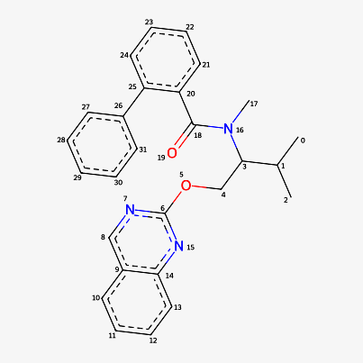 CC(C)C(COc1ncc2ccccc2n1)N(C)C(=O)c1ccccc1-c1ccccc1